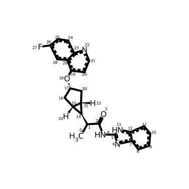 CC(C(=O)Nc1nc2ccccc2[nH]1)[C@H]1[C@@H]2C[C@H](Oc3ccnc4ccc(F)cc34)C[C@@H]21